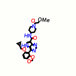 COCC(=O)N1CCC(NC(=O)c2c[nH]c3c(-c4c(OCC5CC5)ccc5c4OCO5)ncnc23)CC1